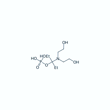 CCC(CC)(OP(=O)(O)O)N(CCO)CCO